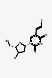 O=c1[nH]c(=O)n([C@@H]2CC(Br)[C@H](CO)O2)cc1/C=C/Br